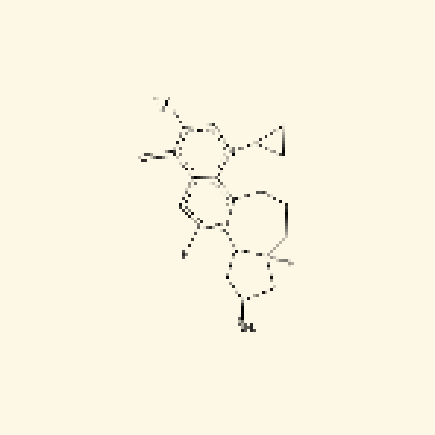 N[C@@H]1C[C@@H]2CCCc3c(c(F)cc4c(=O)c(C(=O)O)cn(C5CC5)c34)N2C1